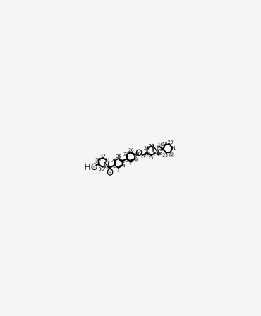 O=C(c1ccc(-c2ccc(OCC3CCN(CC4(F)CCCCC4)CC3)cc2)cc1)N1CCCC(O)C1